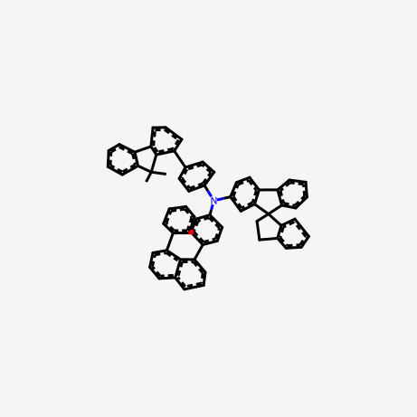 CC1(C)c2ccccc2-c2cccc(-c3ccc(N(c4ccc(-c5cccc6cccc(-c7ccccc7)c56)cc4)c4ccc5c(c4)C4(CCc6ccccc64)c4ccccc4-5)cc3)c21